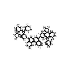 C1=CCCC(N2c3cc(-c4cc5cc(-c6ccc7c(c6)N(c6ccccc6)c6ccccc6C76CCCC6)c6ccccc6c5c5c4CCC=C5)ccc3C3(CCCC3)C3C=CC=CC32)=C1